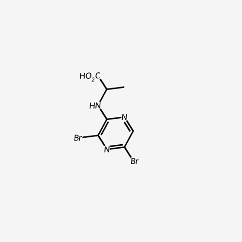 CC(Nc1ncc(Br)nc1Br)C(=O)O